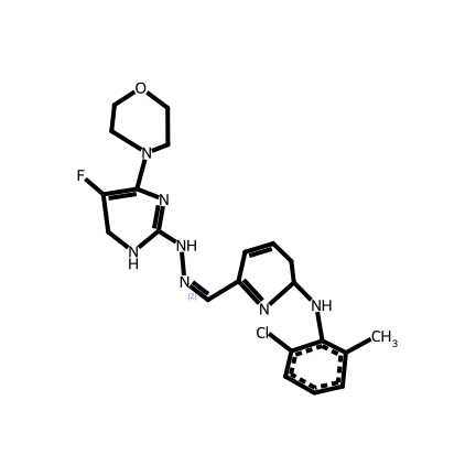 Cc1cccc(Cl)c1NC1CC=CC(/C=N\NC2=NC(N3CCOCC3)=C(F)CN2)=N1